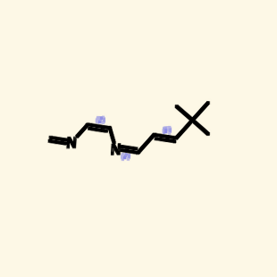 C=N\C=C/N=C\C=C\C(C)(C)C